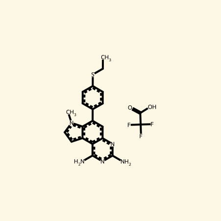 CCSc1ccc(-c2cc3nc(N)nc(N)c3c3ccn(C)c23)cc1.O=C(O)C(F)(F)F